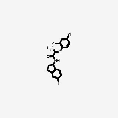 CC(Oc1ccc(Cl)cc1Cl)C(=O)NC1CCc2cc(F)ccc21